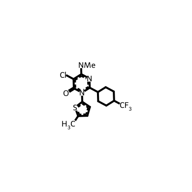 CNc1nc(C2CCC(C(F)(F)F)CC2)n(-c2ccc(C)s2)c(=O)c1Cl